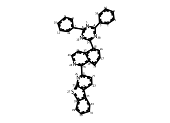 c1ccc(-c2nc(-c3ccccc3)nc(-c3cccc4c(-c5ccc6c(n5)sc5ccccc56)nccc34)n2)cc1